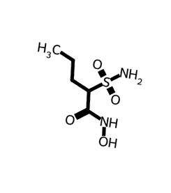 CCCC(C(=O)NO)S(N)(=O)=O